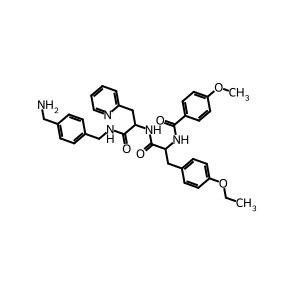 CCOc1ccc(CC(NC(=O)c2ccc(OC)cc2)C(=O)NC(Cc2ccccn2)C(=O)NCc2ccc(CN)cc2)cc1